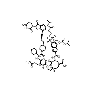 CC(C)OC(=O)OCOP(=O)(OCOC(=O)OC(C)C)C(F)(F)c1ccc2sc(C(=O)N[C@H]3CN(C(=O)O)CC[C@H]4CC[C@@H](C(=O)N[C@@H](CCC(N)=O)C(=O)N[C@H](C(=O)N5CCC(CCC#Cc6cccc7c6CN(C6CCC(=O)NC6=O)C7=O)CC5)C5CCCCC5)N4C3=O)cc2c1